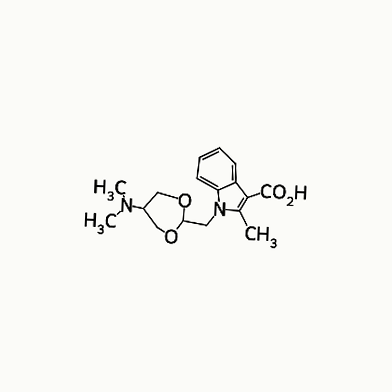 Cc1c(C(=O)O)c2ccccc2n1CC1OCC(N(C)C)CO1